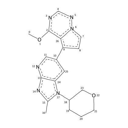 COc1ncnn2ccc(-c3cnc4nc(C)n(C5CCCOC5)c4c3)c12